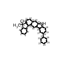 CC1(C)c2ccccc2-c2c1ccc1cc3[nH]c4ccc(-c5ccccc5)cc4c3cc21